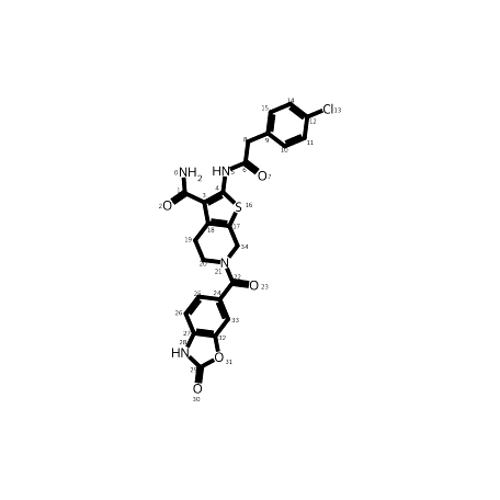 NC(=O)c1c(NC(=O)Cc2ccc(Cl)cc2)sc2c1CCN(C(=O)c1ccc3[nH]c(=O)oc3c1)C2